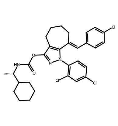 C[C@H](NC(=O)Oc1nn(-c2ccc(Cl)cc2Cl)c2c1CCCC/C2=C\c1ccc(Cl)cc1)C1CCCCC1